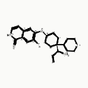 CCC(N)[C@]1(C2CCSCC2)CC[C@H](Oc2cc3cc[nH]c(=O)c3cc2Cl)CC1